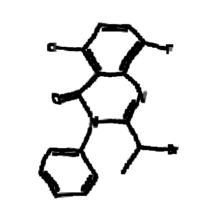 CC(Br)c1nc2c(F)ccc(Cl)c2c(=O)n1-c1ccccc1